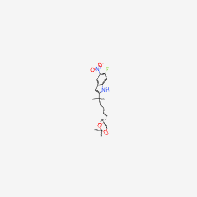 CC1(C)OC[C@@H](CCCCC(C)(C)c2cc3cc([N+](=O)[O-])c(F)cc3[nH]2)O1